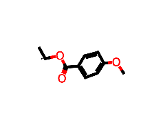 C[CH]OC(=O)c1ccc(OC)cc1